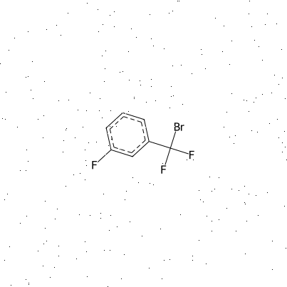 Fc1cccc(C(F)(F)Br)c1